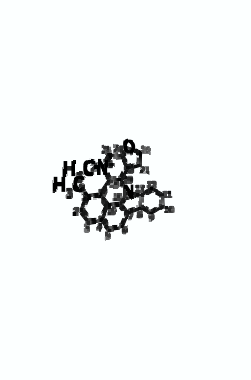 Cc1ccc2ccc3c4ccccc4n4c3c2c1c1c4c2ccoc2c[n+]1C